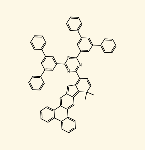 CC1(C)C=CC(c2nc(-c3cc(-c4ccccc4)cc(-c4ccccc4)c3)nc(-c3cc(-c4ccccc4)cc(-c4ccccc4)c3)n2)=C2C=c3cc4c5ccccc5c5ccccc5c4cc3=C21